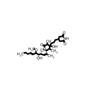 CCC/C=C/C(OC)[C@@H](O)[C@H](C)/C=C(/C)[C@@H]1OC(=O)C(C)C(O)(CCCC2CC(=O)NC(=O)C2)C1C